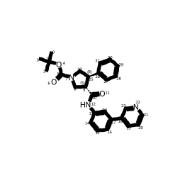 CC(C)(C)OC(=O)N1C[C@@H](C(=O)Nc2cccc(-c3cccnc3)c2)[C@H](c2ccccc2)C1